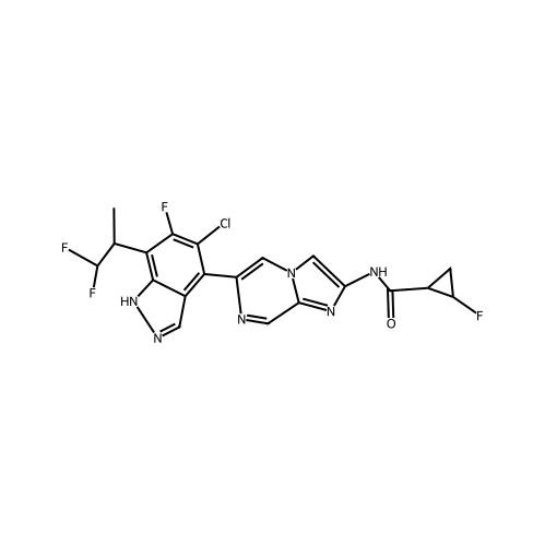 CC(c1c(F)c(Cl)c(-c2cn3cc(NC(=O)C4CC4F)nc3cn2)c2cn[nH]c12)C(F)F